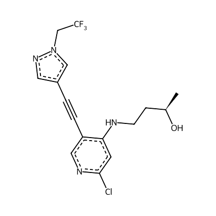 C[C@@H](O)CCNc1cc(Cl)ncc1C#Cc1cnn(CC(F)(F)F)c1